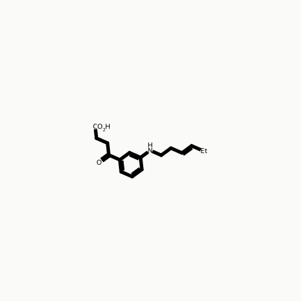 CCC=CCCNc1cccc(C(=O)CCC(=O)O)c1